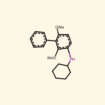 COc1ccc(PC2CCCCC2)c(OC)c1-c1ccccc1